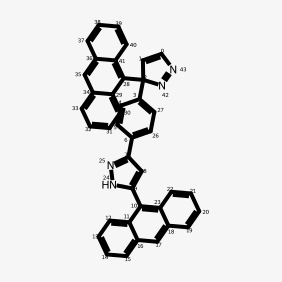 C1=CC(c2ccc(-c3cc(-c4c5ccccc5cc5ccccc45)[nH]n3)cc2)(c2c3ccccc3cc3ccccc23)N=N1